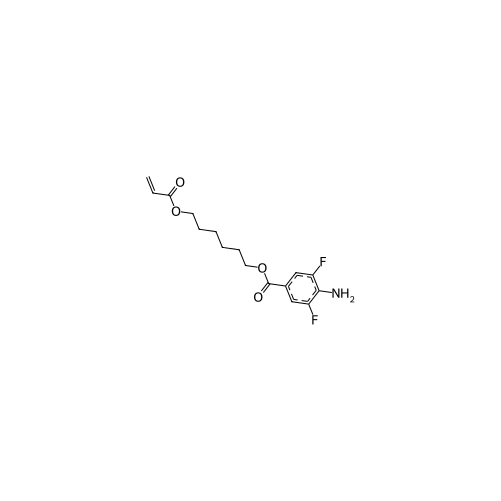 C=CC(=O)OCCCCCCOC(=O)c1cc(F)c(N)c(F)c1